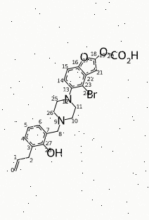 C=CCc1cccc(CN2CCN(c3ccc4oc(OC(=O)O)cc4c3Br)CC2)c1O